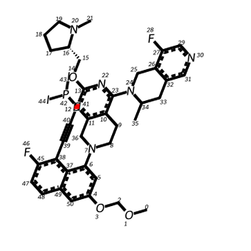 COCOc1cc(N2CCc3c(nc(OC[C@@H]4CCCN4C)nc3N3Cc4c(F)cncc4CC3C)C2)c2c(C#CSP(I)I)c(F)ccc2c1